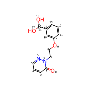 O=c1cccnn1CCOc1cccc(B(O)O)c1